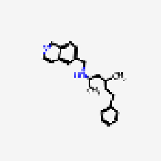 CC(CCc1ccccc1)C[C@@H](C)NCc1ccc2cnccc2c1